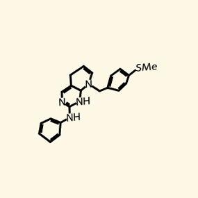 CSc1ccc(CN2C=CCC3=CN=C(Nc4ccccc4)NC32)cc1